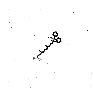 CC[C@H](O)CC/C(C)=C/CC/C(C)=C/CCC(C)(C)[Si](O)(c1ccccc1)c1ccccc1